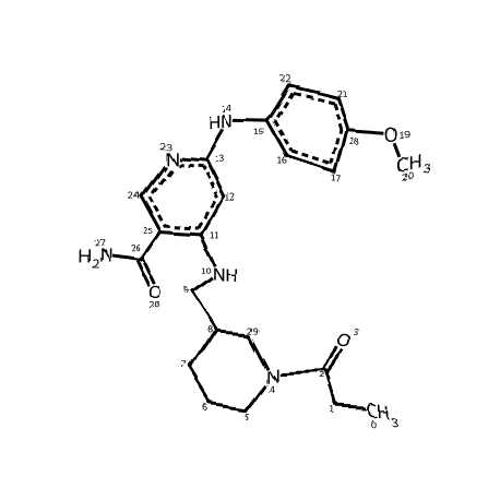 CCC(=O)N1CCCC(CNc2cc(Nc3ccc(OC)cc3)ncc2C(N)=O)C1